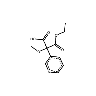 CCOC(=O)C(OC)(C(=O)O)c1cccnc1